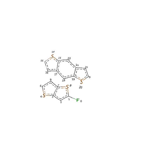 Fc1cc2sccc2s1.c1cc2cc3sccc3cc2s1